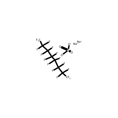 FC(F)(F)C(F)(F)C(F)(F)C(F)(F)C(F)(F)C(F)(F)C(F)(F)C(F)(F)F.O=S(=O)([O-])[O-].[Na+].[Na+]